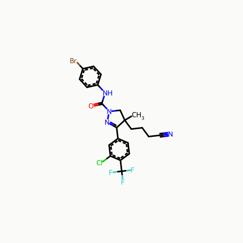 CC1(CCCC#N)CN(C(=O)Nc2ccc(Br)cc2)N=C1c1ccc(C(F)(F)F)c(Cl)c1